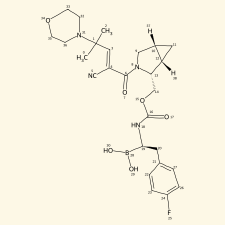 CC(C)(C=C(C#N)C(=O)N1C[C@@H]2C[C@@H]2[C@@H]1COC(=O)N[C@@H](Cc1ccc(F)cc1)B(O)O)N1CCOCC1